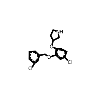 Clc1cccc(COc2cc(Cl)ccc2OC2CCNC2)c1